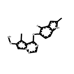 CCCOc1cn2ncnc(Oc3ccc4[nH]c(C)cc4c3F)c2c1C